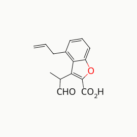 C=CCc1cccc2oc(C(=O)O)c(C(C)C=O)c12